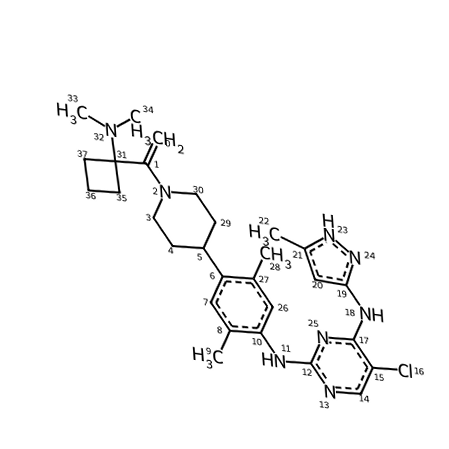 C=C(N1CCC(c2cc(C)c(Nc3ncc(Cl)c(Nc4cc(C)[nH]n4)n3)cc2C)CC1)C1(N(C)C)CCC1